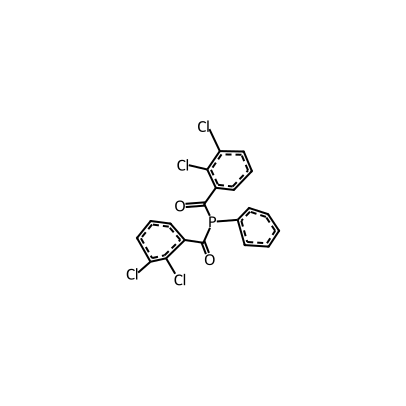 O=C(c1cccc(Cl)c1Cl)P(C(=O)c1cccc(Cl)c1Cl)c1ccccc1